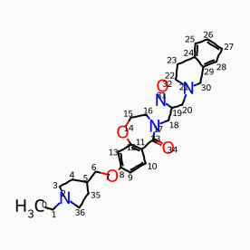 CCN1CCC(COc2ccc3c(c2)OCCN(CC(CN2CCc4ccccc4C2)N=O)C3=O)CC1